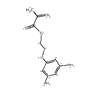 C=C(C)C(=O)OCCOc1cc(N)cc(N)c1